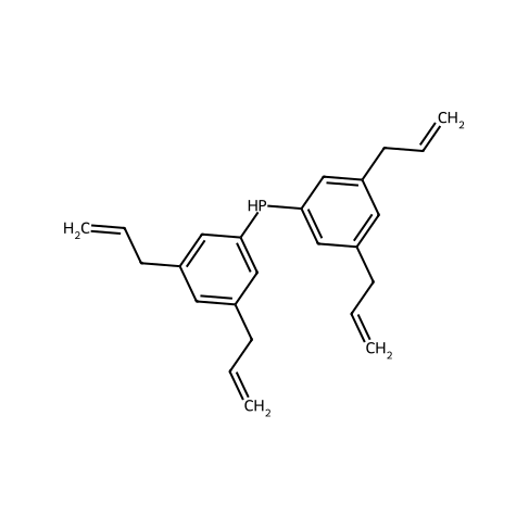 C=CCc1cc(CC=C)cc(Pc2cc(CC=C)cc(CC=C)c2)c1